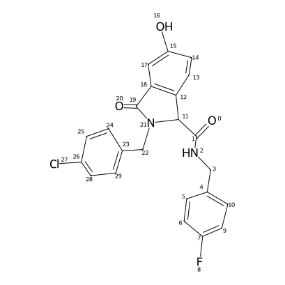 O=C(NCc1ccc(F)cc1)C1c2ccc(O)cc2C(=O)N1Cc1ccc(Cl)cc1